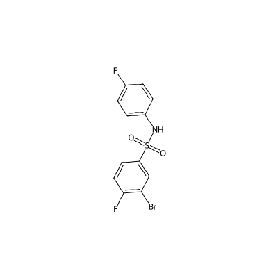 O=S(=O)(Nc1ccc(F)cc1)c1ccc(F)c(Br)c1